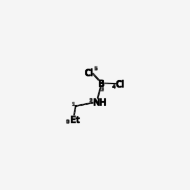 CCCNB(Cl)Cl